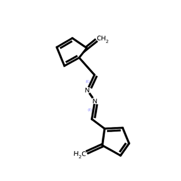 C=C1C=CC=C1/C=N/N=C/C1=CC=CC1=C